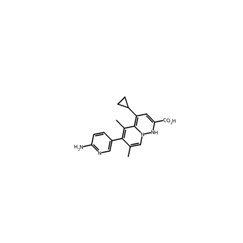 CC1=CN2NC(C(=O)O)=CC(C3CC3)=C2C(C)=C1c1ccc(N)nc1